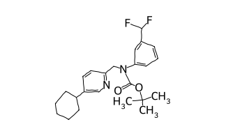 CC(C)(C)OC(=O)N(Cc1ccc(C2CCCCC2)cn1)c1cccc(C(F)F)c1